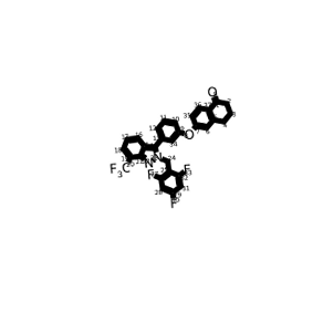 O=C1CCCc2cc(Oc3cccc(-c4c5cccc(C(F)(F)F)c5nn4Cc4c(F)cc(F)cc4F)c3)ccc21